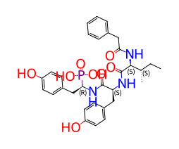 CC[C@H](C)[C@H](NC(=O)Cc1ccccc1)C(=O)N[C@@H](Cc1ccc(O)cc1)C(=O)N[C@@H](Cc1ccc(O)cc1)P(=O)(O)O